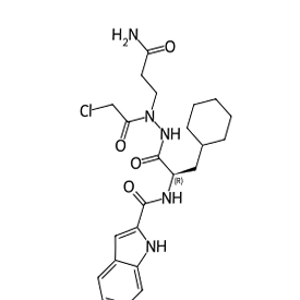 NC(=O)CCN(NC(=O)[C@@H](CC1CCCCC1)NC(=O)c1cc2ccccc2[nH]1)C(=O)CCl